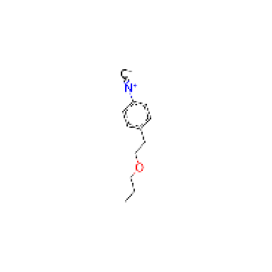 [C-]#[N+]c1ccc(CCOCCC)cc1